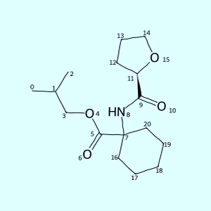 CC(C)COC(=O)C1(NC(=O)[C@H]2CCCO2)CCCCC1